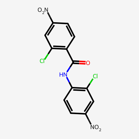 O=C(Nc1ccc([N+](=O)[O-])cc1Cl)c1ccc([N+](=O)[O-])cc1Cl